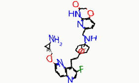 NC1C[C@H]1COc1ccc2ncc(F)c(CCC34CCC(NCc5ccc6c(n5)NC(=O)CO6)(CC3)CO4)c2n1